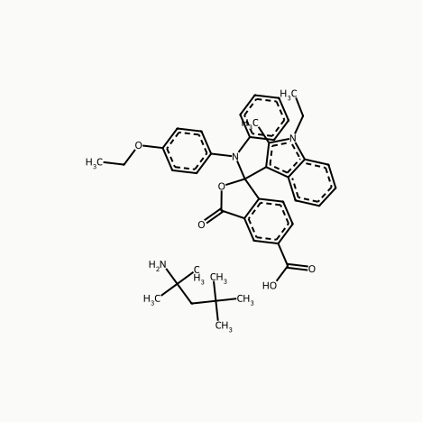 CC(C)(C)CC(C)(C)N.CCOc1ccc(N(c2ccccc2)C2(c3c(C)n(CC)c4ccccc34)OC(=O)c3cc(C(=O)O)ccc32)cc1